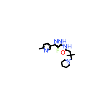 Cc1ccc(-c2n[nH]c(NC(=O)CC(C)(C)CN3CCCCC3)c2F)cn1